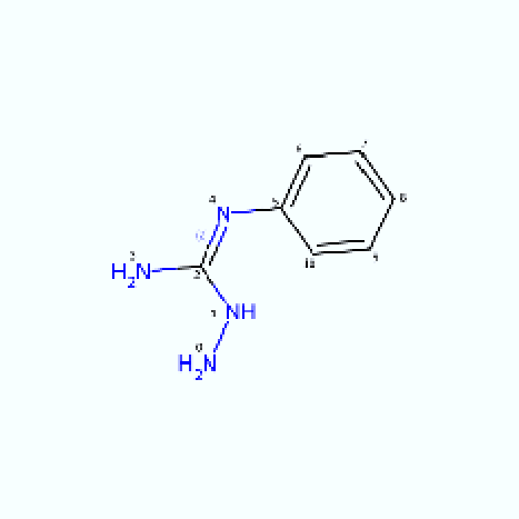 NN/C(N)=N\c1ccccc1